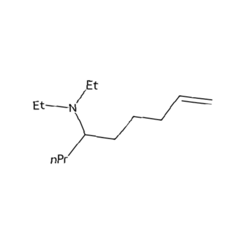 C=CCCCC(CCC)N(CC)CC